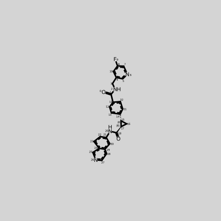 O=C(NCc1cncc(F)c1)c1ccc([C@@H]2C[C@H]2C(=O)Nc2ccc3cnccc3c2)cc1